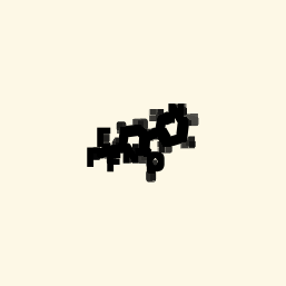 COc1nc(C(F)(F)F)ccc1-c1cccnc1